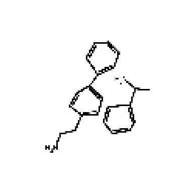 CC(N)c1ccccc1.NCCc1ccc(-c2ccccc2)cc1